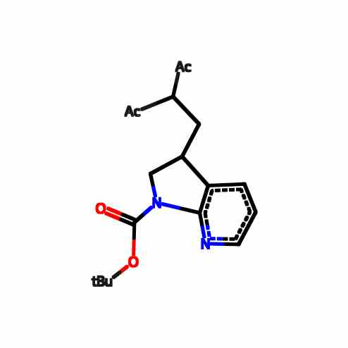 CC(=O)C(CC1CN(C(=O)OC(C)(C)C)c2ncccc21)C(C)=O